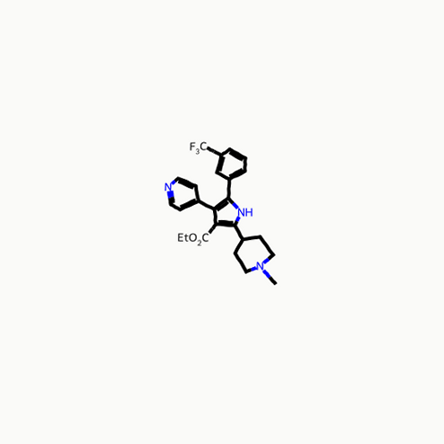 CCOC(=O)c1c(C2CCN(C)CC2)[nH]c(-c2cccc(C(F)(F)F)c2)c1-c1ccncc1